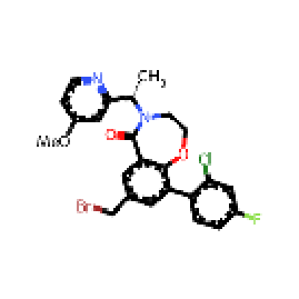 COc1ccnc([C@H](C)N2CCOc3c(cc(CBr)cc3-c3ccc(F)cc3Cl)C2=O)c1